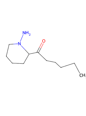 CCCCCC(=O)C1CCCCN1N